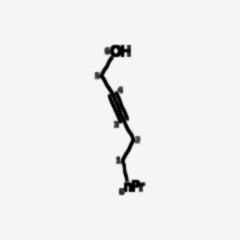 CCCCCC#CCO